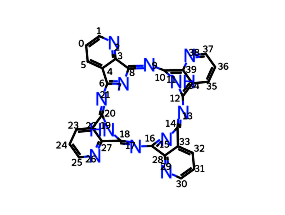 c1cnc2c(c1)-c1nc-2nc2[nH]c(nc3nc(nc4[nH]c(n1)c1cccnc41)-c1ncccc1-3)c1cccnc21